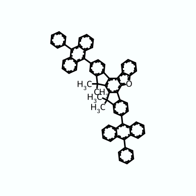 CC1(C)c2cc(-c3c4ccccc4c(-c4ccccc4)c4ccccc34)ccc2-c2c1c1c(c3c2oc2ccccc23)-c2ccc(-c3c4ccccc4c(-c4ccccc4)c4ccccc34)cc2C1(C)C